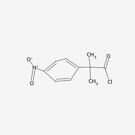 CC(C)(C(=O)Cl)c1ccc([N+](=O)[O-])cc1